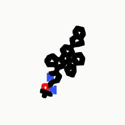 CC1(C)CN=C(c2ccc(-c3cc4c(c5ccccc35)-c3ccc(-c5ccc6ccccc6c5)cc3C4(c3ccccc3)c3ccccc3)cn2)O1